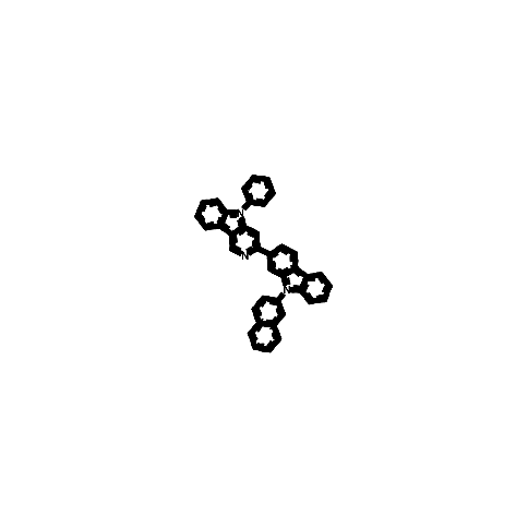 c1ccc(-n2c3ccccc3c3cnc(-c4ccc5c6ccccc6n(-c6ccc7ccccc7c6)c5c4)cc32)cc1